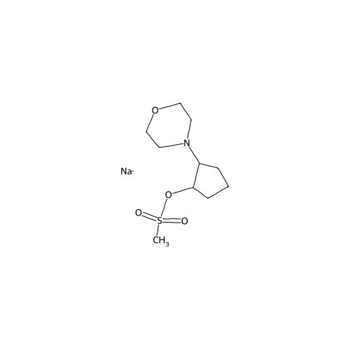 CS(=O)(=O)OC1CCCC1N1CCOCC1.[Na]